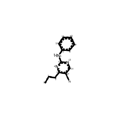 CCCc1nc(Nc2ccccc2)ncc1C